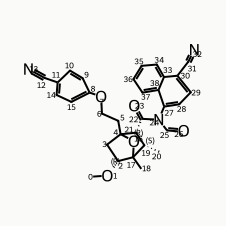 CO[C@@H]1CC2(CCOc3ccc(C#N)cc3)OC1(C)[C@@H](C)[C@H]2C(=O)N(C=O)c1ccc(C#N)c2ccccc12